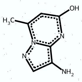 Cc1cc(O)nc2c(N)cnn12